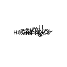 CC(C)(C)c1ccc(C(=O)N[C@@H](Cc2ccc(-c3ccc(-c4ccc(O)cc4)nn3)cc2)C(=O)O)cc1